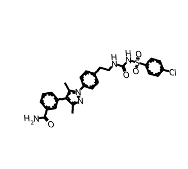 Cc1nn(-c2ccc(CCNC(=O)NS(=O)(=O)c3ccc(Cl)cc3)cc2)c(C)c1-c1cccc(C(N)=O)c1